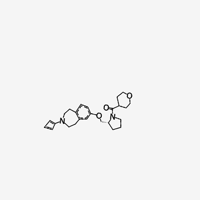 O=C(C1CCOCC1)N1CCC[C@@H]1COc1ccc2c(c1)CCN(C1=CC=C1)CC2